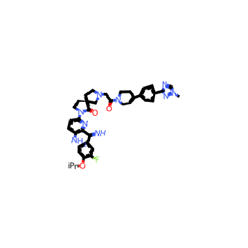 CC(C)Oc1ccc(C(=N)c2nc(N3CC[C@]4(CCN(CC(=O)N5CC=C(c6ccc(-c7ncn(C)n7)cc6)CC5)C4)C3=O)ccc2N)cc1F